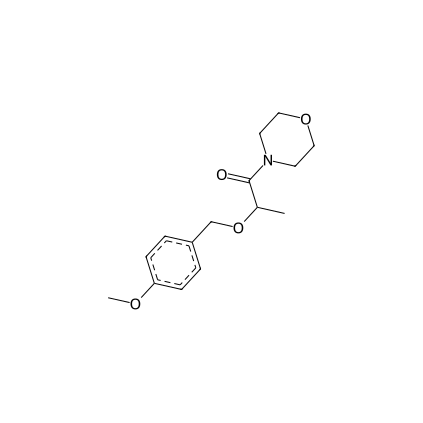 COc1ccc(COC(C)C(=O)N2CCOCC2)cc1